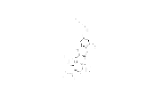 CC(CCO)NCc1cc(N(C)C)c2c(c1O)C(=O)C1=C(O)[C@]3(O)C(=O)C(C(N)=O)=C(O)[C@H](N(C)C)[C@@H]3C[C@H]1C2